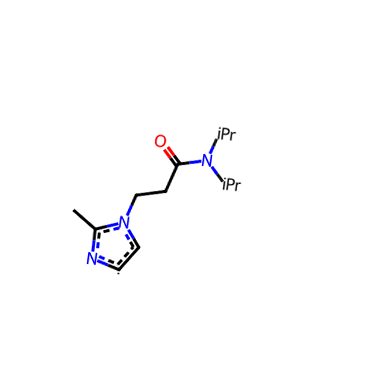 Cc1n[c]cn1CCC(=O)N(C(C)C)C(C)C